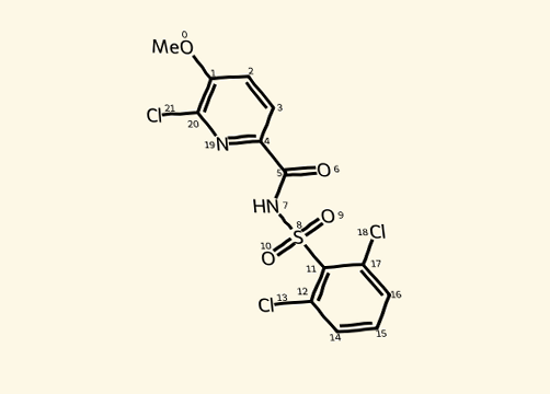 COc1ccc(C(=O)NS(=O)(=O)c2c(Cl)cccc2Cl)nc1Cl